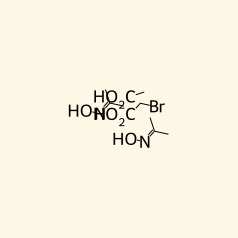 CC(=O)O.CC(C)=NO.CC(C)=NO.O=C(O)CBr